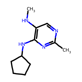 CNc1cnc(C)nc1NC1CCCC1